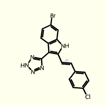 Clc1ccc(/C=C/c2[nH]c3cc(Br)ccc3c2-c2nn[nH]n2)cc1